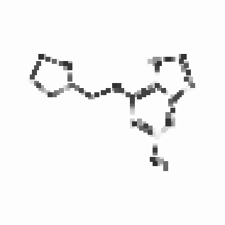 Nc1nc(OCC2CCCO2)c2[nH]cnc2n1